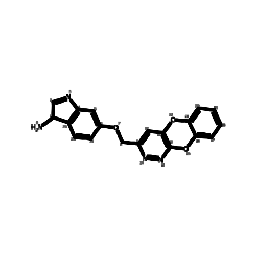 NC1C=Nc2cc(OCc3cc4c(nn3)Oc3ccccc3O4)ccc21